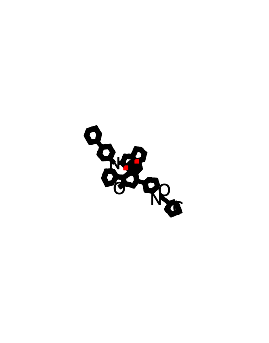 c1ccc(-c2ccc(N(c3ccc4ccccc4c3)c3cccc4oc5cc(-c6ccc7oc(-c8ccccc8)nc7c6)c6ccccc6c5c34)cc2)cc1